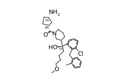 COCCCC[C@@](O)(c1cccc(Cl)c1Cc1ccccc1C)C1CCCN(C(=O)[C@@H]2CC[C@H](N)C2)C1